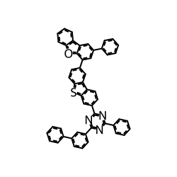 c1ccc(-c2cccc(-c3nc(-c4ccccc4)nc(-c4ccc5c(c4)sc4ccc(-c6cc(-c7ccccc7)cc7c6oc6ccccc67)cc45)n3)c2)cc1